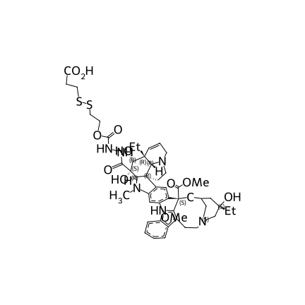 CC[C@]1(O)CC2C[N@@](CCc3c([nH]c4ccccc34)[C@@](C(=O)OC)(c3cc4c(cc3OC)N(C)[C@H]3[C@@](O)(C(=O)NNC(=O)OCCSSCCC(=O)O)[C@H](O)[C@]5(CC)C=CCN6CC[C@]43[C@@H]65)C2)C1